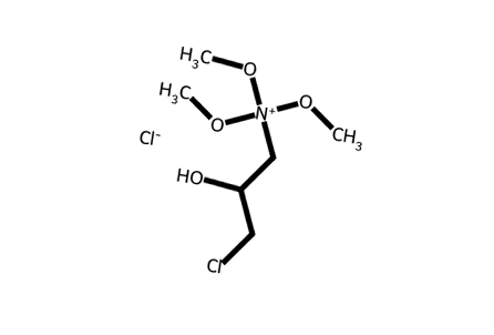 CO[N+](CC(O)CCl)(OC)OC.[Cl-]